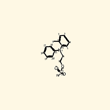 Cc1ccccc1N(CCOS(C)(=O)=O)c1ccccc1